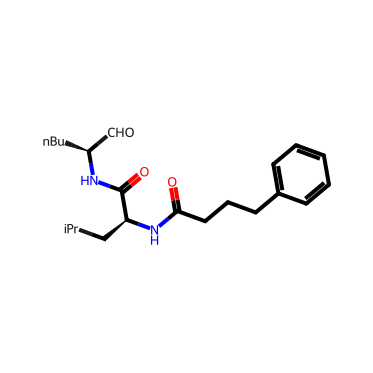 CCCC[C@@H](C=O)NC(=O)[C@H](CC(C)C)NC(=O)CCCc1ccccc1